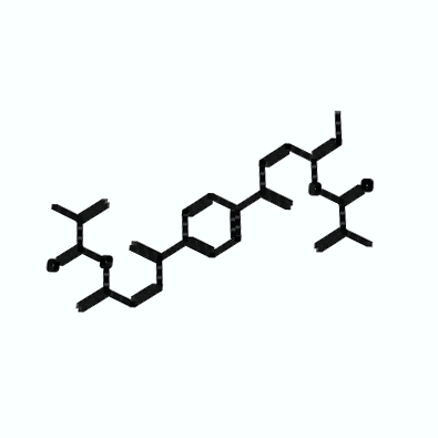 C=C(/C=C\C(=C)c1ccc(C(=C)/C=C\C(=C/C)OC(=O)C(=C)C)cc1)OC(=O)C(=C)C